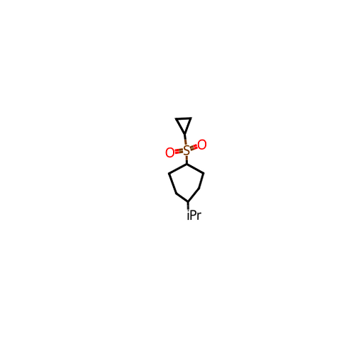 CC(C)C1CCC(S(=O)(=O)C2CC2)CC1